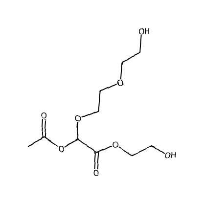 CC(=O)OC(OCCOCCO)C(=O)OCCO